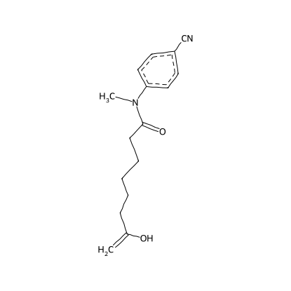 C=C(O)CCCCCC(=O)N(C)c1ccc(C#N)cc1